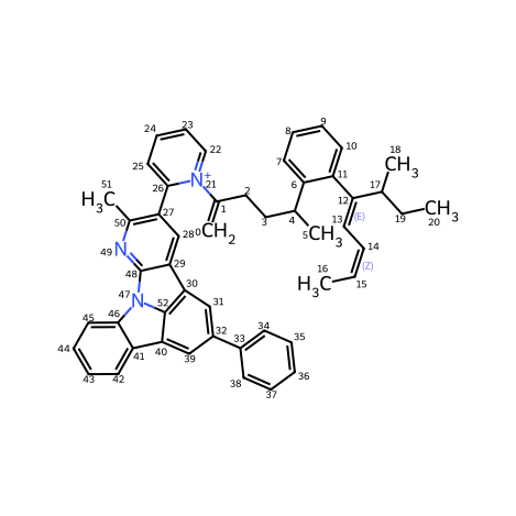 C=C(CCC(C)c1ccccc1/C(=C/C=C\C)C(C)CC)[n+]1ccccc1-c1cc2c3cc(-c4ccccc4)cc4c5ccccc5n(c2nc1C)c43